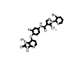 CC(C)n1c(=O)[nH]c2nccc(Oc3ccc(NC(=O)c4cnn(-c5ncccc5Br)c4C(F)(F)F)cc3F)c21